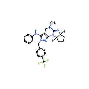 CN1Cc2c(nn(Cc3ccc(C(F)(F)F)cc3)c2Nc2ccccc2)N2C1=N[C@@H]1CCC[C@@H]12